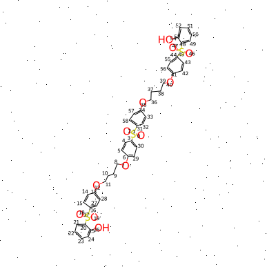 O=S(=O)(c1ccc(OCCCCOc2ccc(S(=O)(=O)c3ccccc3O)cc2)cc1)c1ccc(OCCCCOc2ccc(S(=O)(=O)c3ccccc3O)cc2)cc1